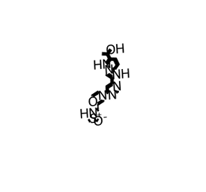 CC(O)C(=N)/C=C\c1ncc(-c2cc(N3CCO[C@H](CN[S+](C)[O-])C3)ncn2)[nH]1